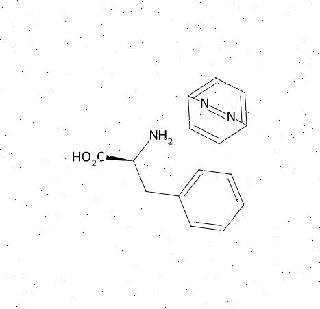 N[C@@H](Cc1ccccc1)C(=O)O.c1cc2ccc1nn2